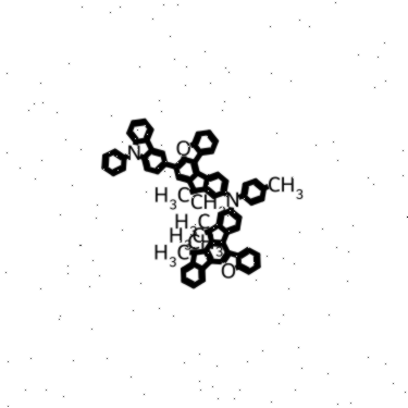 Cc1ccc(N(c2ccc3c(c2)C(C)(C)c2cc(-c4ccc5c(c4)c4ccccc4n5-c4ccccc4)c4oc5ccccc5c4c2-3)c2ccc3c(c2)C(C)(C)c2c4c(c5oc6ccccc6c5c2-3)-c2ccccc2C4(C)C)cc1